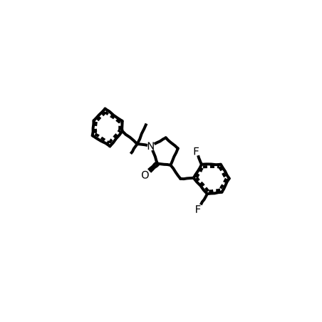 CC(C)(c1ccccc1)N1CCC(Cc2c(F)cccc2F)C1=O